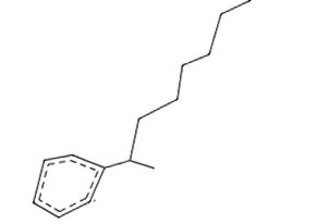 CCCCCCCC(C)c1[c]cccc1